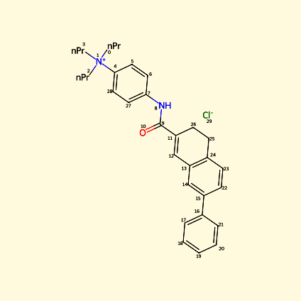 CCC[N+](CCC)(CCC)c1ccc(NC(=O)C2=Cc3cc(-c4ccccc4)ccc3CC2)cc1.[Cl-]